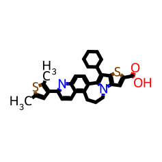 Cc1cc(-c2ccc3c4c(ccc3n2)-c2c(C3CCCCC3)c3sc(C(=O)O)cc3n2CCC4)c(C)s1